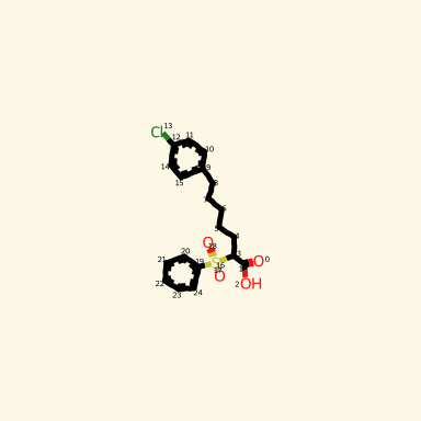 O=C(O)C(CCCCCc1ccc(Cl)cc1)S(=O)(=O)c1ccccc1